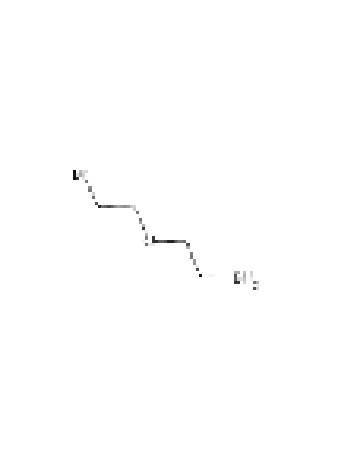 BCCOCCBr